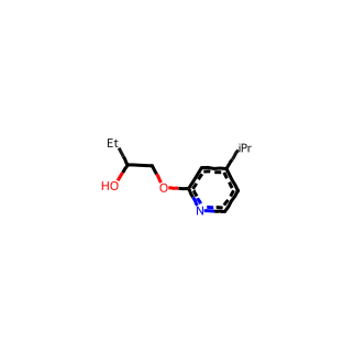 CCC(O)COc1cc(C(C)C)ccn1